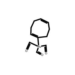 O=[CH][Ru]([CH]=O)([CH]=O)[C]1=CCCC=CCC1